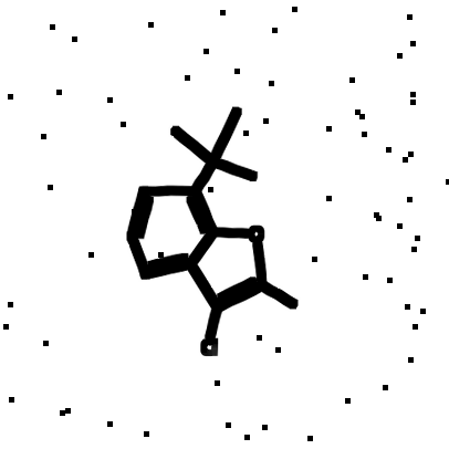 Cc1oc2c(C(C)(C)C)cccc2c1Cl